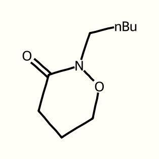 CCCCCN1OCCCC1=O